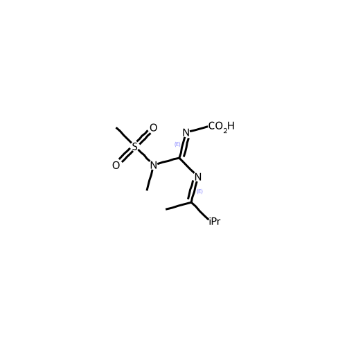 C/C(=N\C(=N/C(=O)O)N(C)S(C)(=O)=O)C(C)C